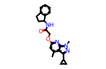 Cc1cc(OCC(=O)NC2CCc3ccccc32)nc2c1c(C1CC1)nn2C